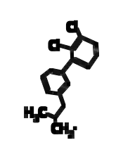 [CH2]C(C)Cc1cccc(-c2cccc(Cl)c2Cl)c1